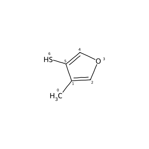 Cc1cocc1S